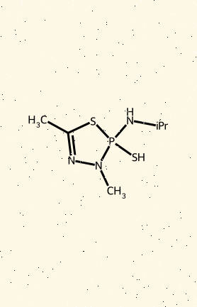 CC1=NN(C)[P](S)(NC(C)C)S1